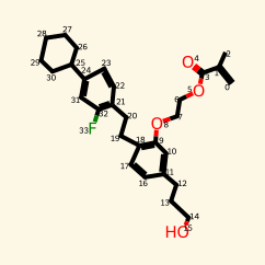 C=C(C)C(=O)OCCOc1cc(CCCO)ccc1CCc1ccc(C2CCCCC2)cc1F